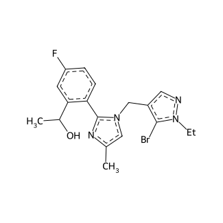 CCn1ncc(Cn2cc(C)nc2-c2ccc(F)cc2C(C)O)c1Br